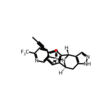 CC#Cc1ccc2c(c1)[C@@H]1c3cn[nH]c3C[C@@H]2N1S(=O)(=O)c1ccc(C(F)(F)F)nc1